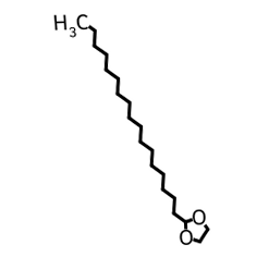 CCCCCCCCCCCCCCCCCC1OCCO1